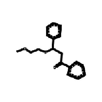 COCCSC(CC(=O)c1ccccc1)c1ccccc1